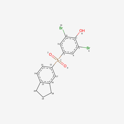 O=S(=O)(c1cc(Br)c(O)c(Br)c1)c1ccc2c(c1)CCC2